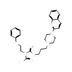 CCc1nn(CCCN2CCN(c3ccc4ccccc4n3)CC2)c(=O)n1CCOc1ccccc1